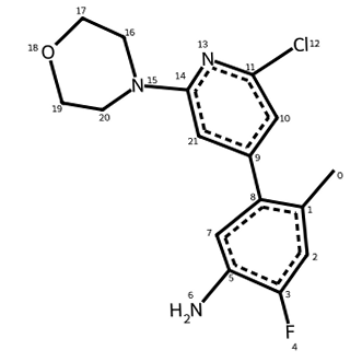 Cc1cc(F)c(N)cc1-c1cc(Cl)nc(N2CCOCC2)c1